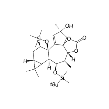 C[C@H]1[C@@H](O[Si](C)(C)C(C)(C)C)[C@H]2C3[C@@H](C[C@@H](C)[C@]2(O[Si](C)(C)C)C2=C[C@@](C)(O)CC24OC(=O)O[C@H]14)C3(C)C